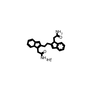 NC(=O)CC1=C(CCC2=Cc3ccccc3C2CC(N)=O)C=C2C=CC=CC21.[Hf]